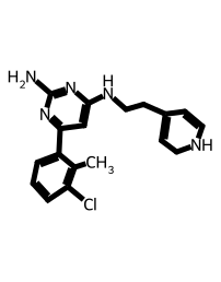 Cc1c(Cl)cccc1-c1cc(NCCC2=CCNC=C2)nc(N)n1